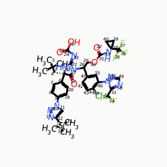 CC(C)(C)C[C@]1(c2ccc(-n3cc([Si](C)(C)C)nn3)cc2)NC(=NC(=O)O)N(C(COC(=O)NC2(C(F)(F)F)CC2)c2ccc(Cl)c(-n3ncnc3C(F)F)c2)C1=O